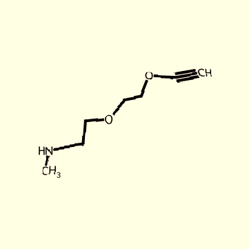 C#COCCOCCNC